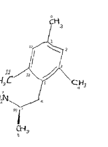 Cc1cc(C)c(C[C@@H](C)N)c(C)c1